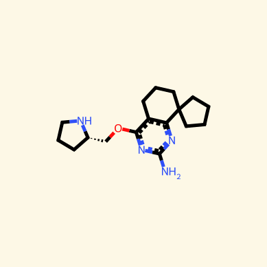 Nc1nc(OC[C@@H]2CCCN2)c2c(n1)C1(CCCC1)CCC2